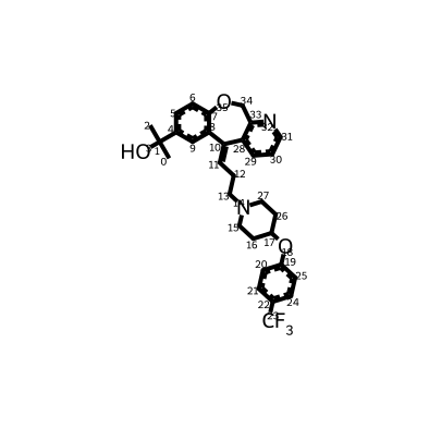 CC(C)(O)c1ccc2c(c1)/C(=C/CCN1CCC(Oc3ccc(C(F)(F)F)cc3)CC1)c1cccnc1CO2